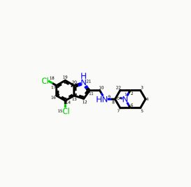 CN1C2CCCC1CC(NCc1cc3c(Cl)cc(Cl)cc3[nH]1)C2